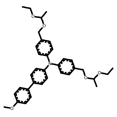 CCOC(C)OCc1ccc(N(c2ccc(COC(C)OCC)cc2)c2ccc(-c3ccc(OC)cc3)cc2)cc1